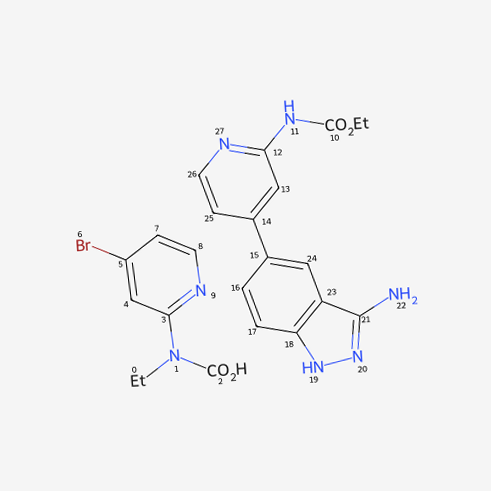 CCN(C(=O)O)c1cc(Br)ccn1.CCOC(=O)Nc1cc(-c2ccc3[nH]nc(N)c3c2)ccn1